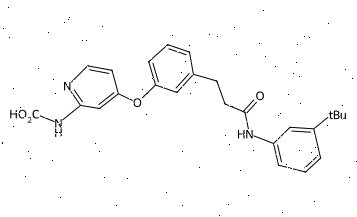 CC(C)(C)c1cccc(NC(=O)CCc2cccc(Oc3ccnc(NC(=O)O)c3)c2)c1